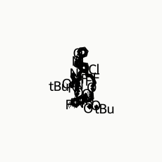 CC(C)(C)OC(=O)N1CCO[C@@H](COCC(F)(F)CCc2c(Cl)cc3c(cnn3C3CCCCO3)c2-c2ncc3c(OC(C)(C)C)nc(OC[C@@]45CCCN4C[C@H](F)C5)nc3c2F)C1